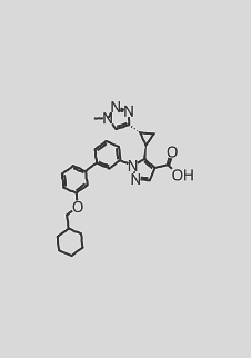 Cn1cc([C@@H]2C[C@H]2c2c(C(=O)O)cnn2-c2cccc(-c3cccc(OCC4CCCCC4)c3)c2)nn1